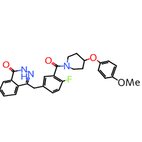 COc1ccc(OC2CCN(C(=O)c3cc(Cc4n[nH]c(=O)c5ccccc45)ccc3F)CC2)cc1